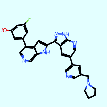 Oc1cc(F)cc(-c2cncc3[nH]c(-c4n[nH]c5ncc(-c6cncc(CN7CCCC7)c6)cc45)cc23)c1